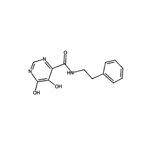 O=C(NCCc1ccccc1)c1ncnc(O)c1O